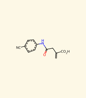 C=C(CC(=O)Nc1ccc(C#N)cc1)C(=O)O